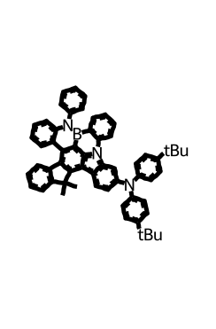 CC(C)(C)c1ccc(N(c2ccc(C(C)(C)C)cc2)c2ccc3c4c5c(c6c7c4n(c3c2)-c2ccccc2B7N(c2ccccc2)c2ccccc2-6)-c2ccccc2C5(C)C)cc1